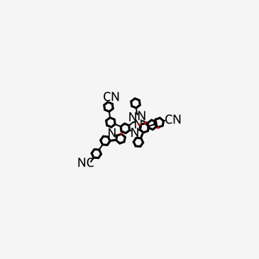 N#Cc1ccc(-c2ccc(-n3c4ccccc4c4cc(-c5ccc(C#N)cc5)ccc43)c(-c3ccc(-n4c5ccccc5c5cc(-c6ccc(C#N)cc6)ccc54)c(-c4nc(-c5ccccc5)nc(-c5ccccc5)n4)c3)c2)cc1